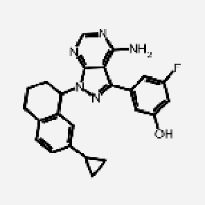 Nc1ncnc2c1c(-c1cc(O)cc(F)c1)nn2C1CCCc2ccc(C3CC3)cc21